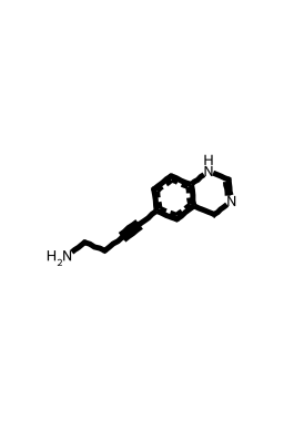 NCCC#Cc1ccc2c(c1)[CH]N=CN2